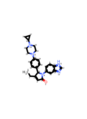 CCC1=CC(=O)N(c2ccc3[nH]cnc3c2)C1c1ccc(N2CCN(C3CC3)CC2)cc1